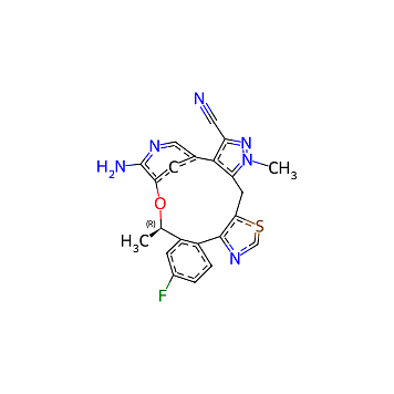 C[C@H]1Oc2cc(cnc2N)-c2c(C#N)nn(C)c2Cc2scnc2-c2ccc(F)cc21